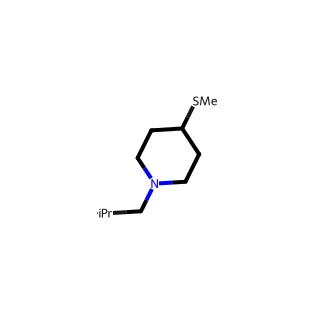 CSC1CCN(C[C](C)C)CC1